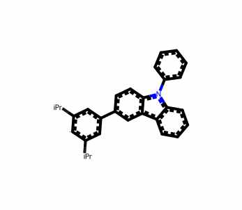 CC(C)c1[c]c(C(C)C)cc(-c2ccc3c(c2)c2ccccc2n3-c2ccccc2)c1